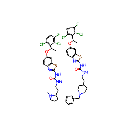 CC(Oc1ccc2nc(NC(=O)NCCC3CCCN3C)sc2c1)c1c(Cl)ccc(F)c1Cl.CC(Oc1ccc2nc(NC(=O)NCCC3CCN(Cc4ccccc4)CC3)sc2c1)c1c(Cl)ccc(F)c1Cl